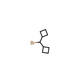 BrC(C1CCC1)C1CCC1